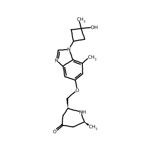 Cc1cc(OC[C@@H]2CC(=O)C[C@H](C)N2)cc2ncn(C3CC(C)(O)C3)c12